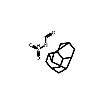 C1C2CC3C4CC5CC(C14)C(C2)C3C5.O=[C]N[SH](=O)=O